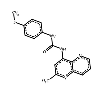 CSc1ccc(NC(=O)Nc2cc(C)nc3cccnc23)cc1